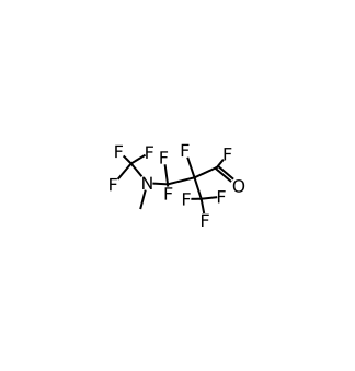 CN(C(F)(F)F)C(F)(F)C(F)(C(=O)F)C(F)(F)F